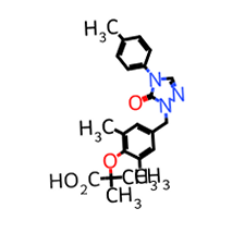 Cc1ccc(-n2cnn(Cc3cc(C)c(OC(C)(C)C(=O)O)c(C)c3)c2=O)cc1